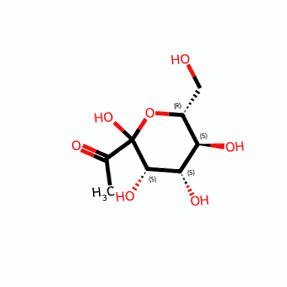 CC(=O)C1(O)O[C@H](CO)[C@@H](O)[C@H](O)[C@@H]1O